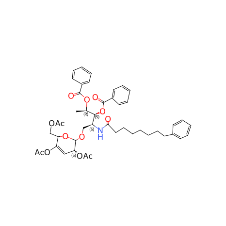 CC(=O)OCC1OC(OC[C@H](NC(=O)CCCCCCCc2ccccc2)[C@H](OC(=O)c2ccccc2)[C@@H](C)OC(=O)c2ccccc2)[C@@H](OC(C)=O)C=C1OC(C)=O